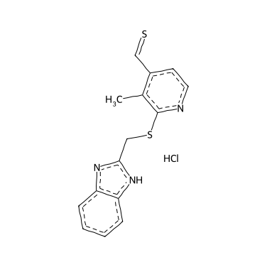 Cc1c(C=S)ccnc1SCc1nc2ccccc2[nH]1.Cl